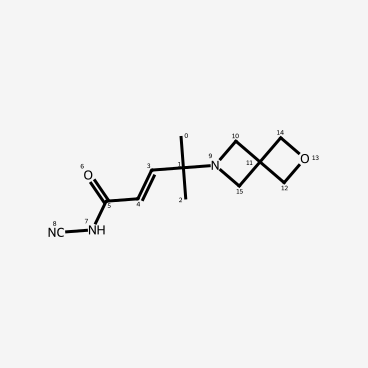 CC(C)(C=CC(=O)NC#N)N1CC2(COC2)C1